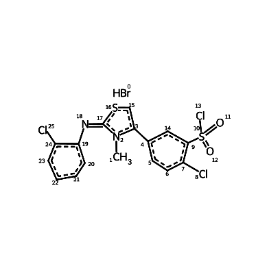 Br.Cn1c(-c2ccc(Cl)c(S(=O)(=O)Cl)c2)cs/c1=N/c1ccccc1Cl